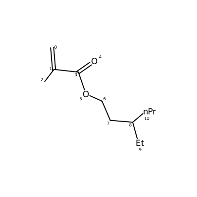 C=C(C)C(=O)OCCC(CC)CCC